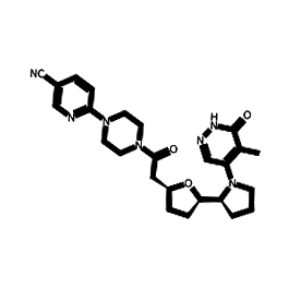 Cc1c(N2CCC[C@H]2[C@H]2CC[C@@H](CC(=O)N3CCN(c4ccc(C#N)cn4)CC3)O2)cn[nH]c1=O